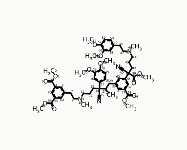 COC(=O)c1cc(CCN(C)CCCC(C#N)(c2ccc(OC)c(OC)c2)C(C)Cc2cc(C(=O)OC)cc(C(C#N)(CCCN(C)CCc3ccc(OC)c(OC)c3)C(=O)OC)c2)cc(C(=O)OC)c1